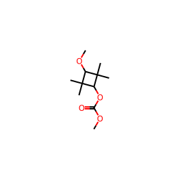 COC(=O)OC1C(C)(C)C(OC)C1(C)C